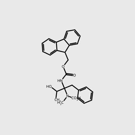 CC(O)C(Cc1ccccc1)(NC(=O)OCC1c2ccccc2-c2ccccc21)N(C)C(=O)O